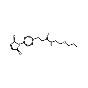 CCCOCCNC(=O)CCc1ccc(N2C(=O)C=CC2=O)cc1